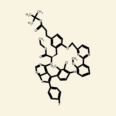 CCOC(=O)[C@@H](Cc1cc(CCC(=O)OC(C)(C)C)ccc1OCc1ccnc(-c2ccccc2OC)n1)Oc1ncnc2sc(-c3ccc(F)cc3)c(-c3ccc(N)c(Cl)c3C)c12